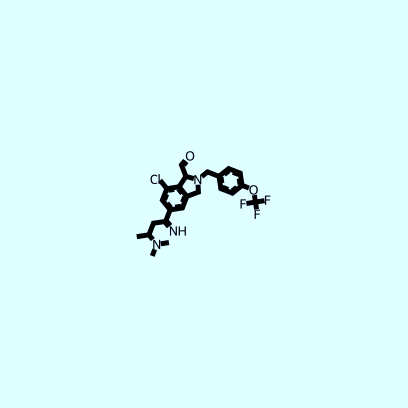 CC(CC(=N)c1cc(Cl)c2c(c1)CN(Cc1ccc(OC(F)(F)F)cc1)C2C=O)N(C)C